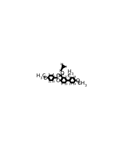 COc1ccc(COc2ccc(-c3ccc(OC)cc3C)cc2C(=O)OCC2CC2)cc1